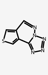 c1nn2nnnc2c2cscc12